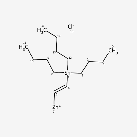 CCC[CH2][Sn](/[CH]=[CH]/[Zn+])([CH2]CCC)[CH2]CCC.[Cl-]